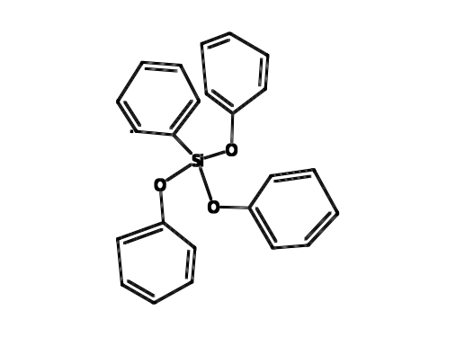 [c]1ccccc1[Si](Oc1ccccc1)(Oc1ccccc1)Oc1ccccc1